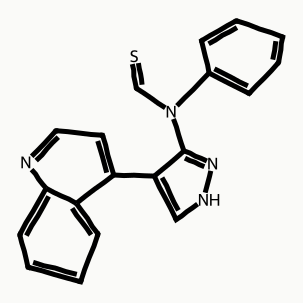 S=CN(c1ccccc1)c1n[nH]cc1-c1ccnc2ccccc12